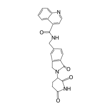 O=C1CCC(N2Cc3cc(CNC(=O)c4ccnc5ccccc45)ccc3C2=O)C(=O)N1